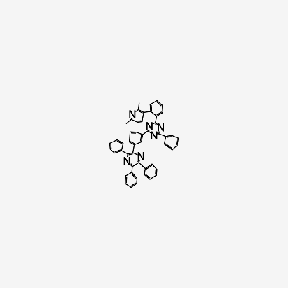 Cc1ccc(-c2ccccc2-c2nc(-c3ccccc3)nc(-c3cccc(-c4nc(-c5ccccc5)c(-c5ccccc5)nc4-c4ccccc4)c3)n2)c(C)n1